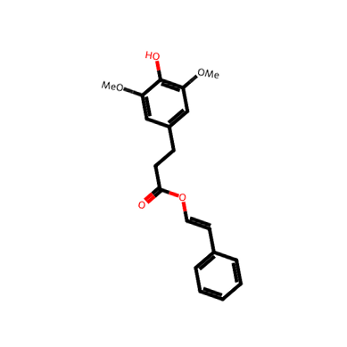 COc1cc(CCC(=O)OC=Cc2ccccc2)cc(OC)c1O